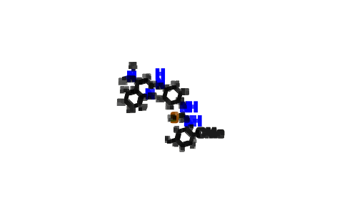 COc1ccc(C)cc1NC(=S)N[C@H]1CC[C@@H](Nc2cc(N(C)C)c3ccccc3n2)CC1